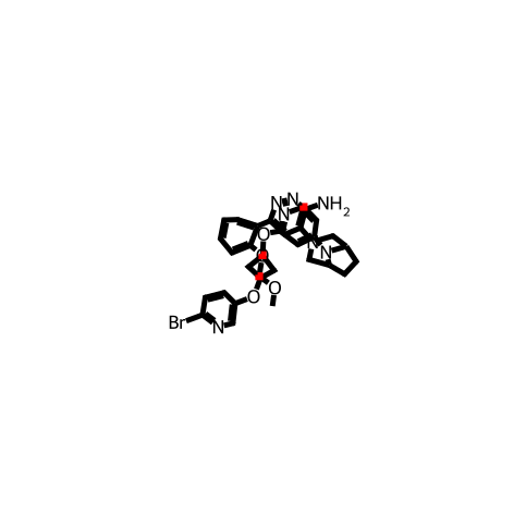 COCOc1ccccc1-c1cc(N2CC3CCC(C2)N3c2ccnc(OC3CC(Oc4ccc(Br)nc4)C3)c2)c(N)nn1